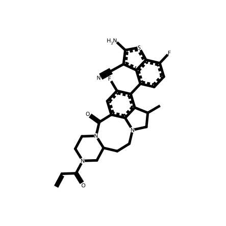 C=CC(=O)N1CCN2C(=O)c3cc(F)c(-c4ccc(F)c5sc(N)c(C#N)c45)c4c3N(CCC2C1)CC4C